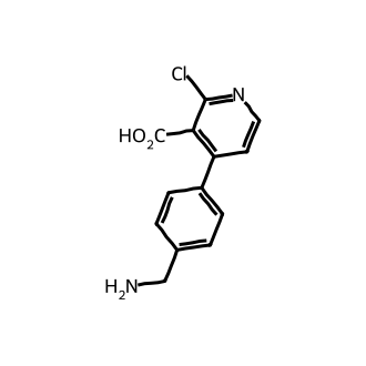 NCc1ccc(-c2ccnc(Cl)c2C(=O)O)cc1